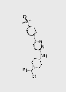 C=S(C)(=O)c1ccc(-c2ccc(NC3CCN(C(CC)CC)CC3)nn2)cc1